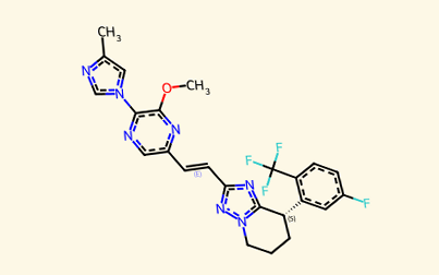 COc1nc(/C=C/c2nc3n(n2)CCC[C@H]3c2cc(F)ccc2C(F)(F)F)cnc1-n1cnc(C)c1